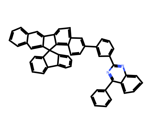 c1ccc(-c2nc(-c3cccc(-c4ccc5c6c(ccc5c4)-c4cc5ccccc5cc4C64c5ccccc5-c5ccccc54)c3)nc3ccccc23)cc1